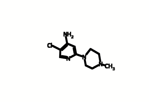 CN1CCN(c2cc(N)c(Cl)cn2)CC1